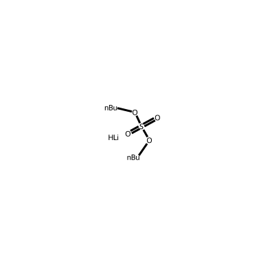 CCCCOS(=O)(=O)OCCCC.[LiH]